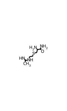 CC(=N)NCCSCC(N)C(N)=O